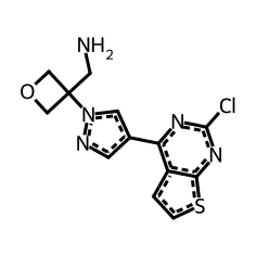 NCC1(n2cc(-c3nc(Cl)nc4sccc34)cn2)COC1